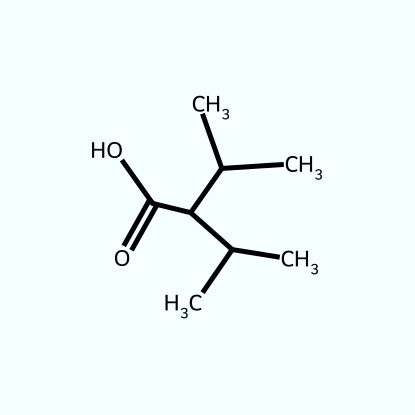 CC(C)C(C(=O)O)C(C)C